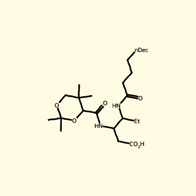 CCCCCCCCCCCCCC(=O)NC(CC)C(CC(=O)O)NC(=O)C1OC(C)(C)OCC1(C)C